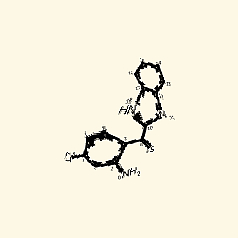 Nc1cc(Cl)ccc1C(=S)c1nc2ccccc2[nH]1